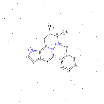 CC(Cc1nccc2cc[nH]c12)C(C)NCc1ccc(F)cc1